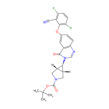 CC(C)(C)OC(=O)N1C[C@@H]2[C@H](C1)[C@H]2n1cnc2ccc(Oc3c(F)ccc(F)c3C#N)cc2c1=O